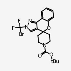 CC(C)(C)OC(=O)N1CCC2(CC1)Oc1ccccc1-c1nn(C(F)(F)Br)cc12